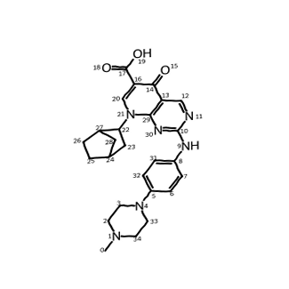 CN1CCN(c2ccc(Nc3ncc4c(=O)c(C(=O)O)cn(C5CC6CCC5C6)c4n3)cc2)CC1